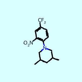 CC1CC(C)CN(c2ccc(C(F)(F)F)cc2[N+](=O)[O-])C1